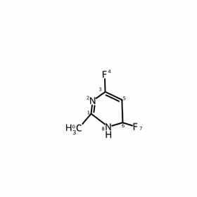 CC1=NC(F)=CC(F)N1